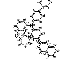 c1ccc(-c2ccc(N(c3ccc(-c4ccc5ccccc5c4)cc3)c3cccc4oc5cccnc5c34)cc2)cc1